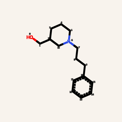 OCC1CCCN(CCCc2ccccc2)C1